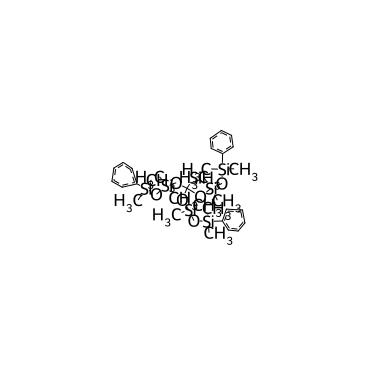 C[Si](C)(OC([SiH3])(O[Si](C)(C)O[Si](C)(C)c1ccccc1)O[Si](C)(C)O[Si](C)(C)c1ccccc1)O[Si](C)(C)c1ccccc1